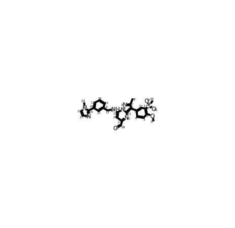 COc1ccc(-c2c(C)nn3c(NCc4cccc(-c5nccn5C)c4)cc(C=O)nc23)cc1S(C)(=O)=O